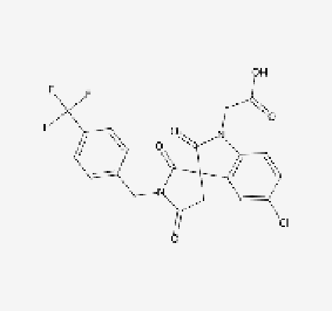 O=C(O)CN1C(=O)C2(CC(=O)N(Cc3ccc(C(F)(F)F)cc3)C2=O)c2cc(Cl)ccc21